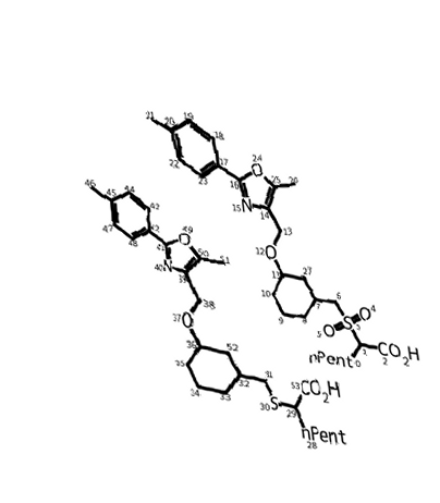 CCCCCC(C(=O)O)S(=O)(=O)CC1CCCC(OCc2nc(-c3ccc(C)cc3)oc2C)C1.CCCCCC(SCC1CCCC(OCc2nc(-c3ccc(C)cc3)oc2C)C1)C(=O)O